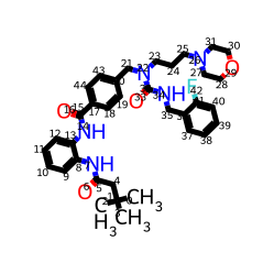 CC(C)(C)CC(=O)Nc1ccccc1NC(=O)c1ccc(CN(CCCN2CCOCC2)C(=O)NCc2ccccc2F)cc1